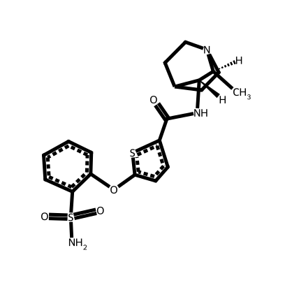 C[C@H]1[C@H](NC(=O)c2ccc(Oc3ccccc3S(N)(=O)=O)s2)C2CCN1CC2